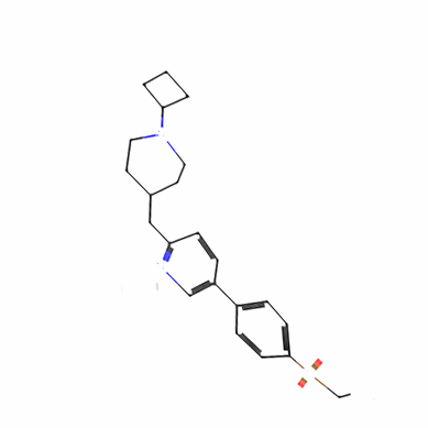 CCS(=O)(=O)c1ccc(-c2ccc(CC3CCN(C4CCC4)CC3)nc2)cc1.Cl.Cl